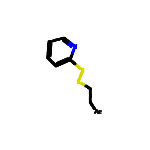 CC(=O)CCSSc1ccccn1